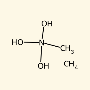 C.C[N+](O)(O)O